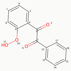 O=C(C(=O)c1ccccc1OO)c1ccccc1